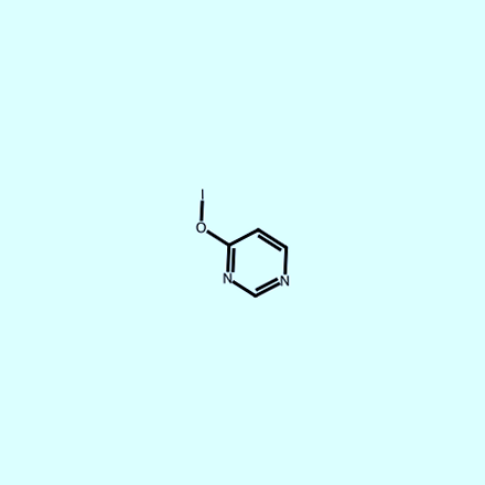 IOc1ccncn1